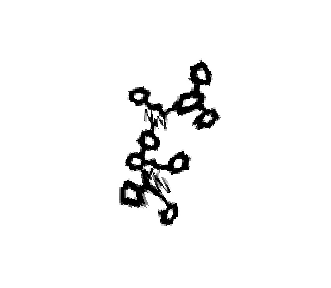 c1ccc(-c2cc(-c3ccccc3)cc(-c3cc(-c4ccccc4)nc(-c4ccc(-c5cccc6c5cc(-c5ccccc5)n5nc(-c7ccccc7)c(-c7ccccc7)c65)cc4)n3)c2)cc1